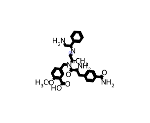 COc1ccc(CN(C(=O)[C@@H](N)Cc2ccc(C(N)=O)cc2)[C@@H](C)/C=N/C(CN)c2ccccc2)cc1C(=O)O